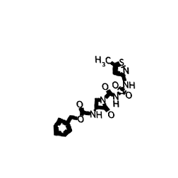 Cc1cc(NS(=O)(=O)NC(=O)N2C[C@H](NC(=O)OCc3ccccc3)C2=O)ns1